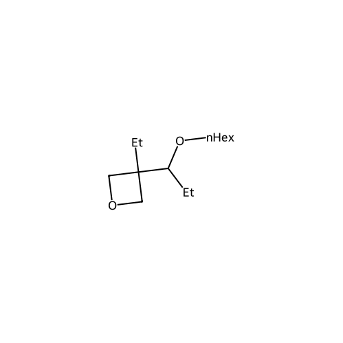 CCCCCCOC(CC)C1(CC)COC1